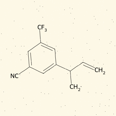 [CH2]C(C=C)c1cc(C#N)cc(C(F)(F)F)c1